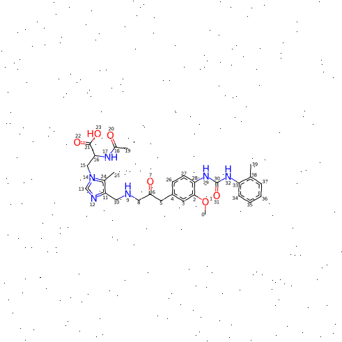 COc1cc(CC(=O)CNCc2ncn(CC(NC(C)=O)C(=O)O)c2C)ccc1NC(=O)Nc1ccccc1C